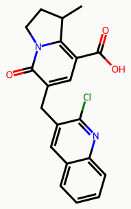 CC1CCn2c1c(C(=O)O)cc(Cc1cc3ccccc3nc1Cl)c2=O